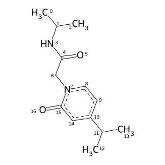 CC(C)NC(=O)Cn1ccc(C(C)C)cc1=O